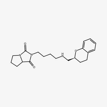 O=C1C2CCCN2C(=O)N1CCCCNC[C@@H]1CCc2ccccc2O1